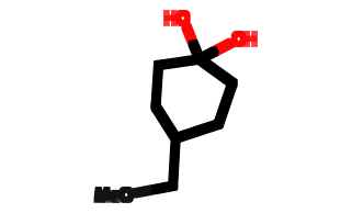 COCC1CCC(O)(O)CC1